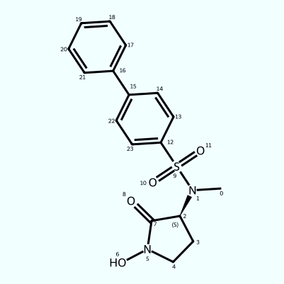 CN([C@H]1CCN(O)C1=O)S(=O)(=O)c1ccc(-c2ccccc2)cc1